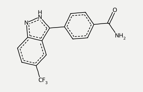 NC(=O)c1ccc(-c2[nH]nc3ccc(C(F)(F)F)cc23)cc1